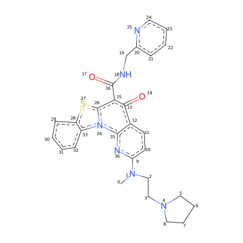 CN(CCN1CCCC1)c1ccc2c(=O)c(C(=O)NCc3ccccn3)c3sc4ccccc4n3c2n1